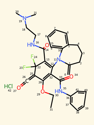 C=C1CCCc2ccccc2N1C1=C(C(=O)NCCN(C)C)C(F)(F)C(=C=O)C(OCC)=C1C(=O)Nc1ccccc1.Cl